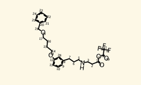 O=C(CCNCCCc1cccc(OCCCCOCc2ccccc2)c1)OC(=O)C(F)(F)F